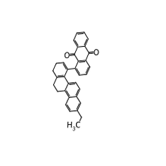 CCc1ccc2c3c(ccc2c1)C1=C(CCC=C1c1cccc2c1C(=O)c1ccccc1C2=O)CC3